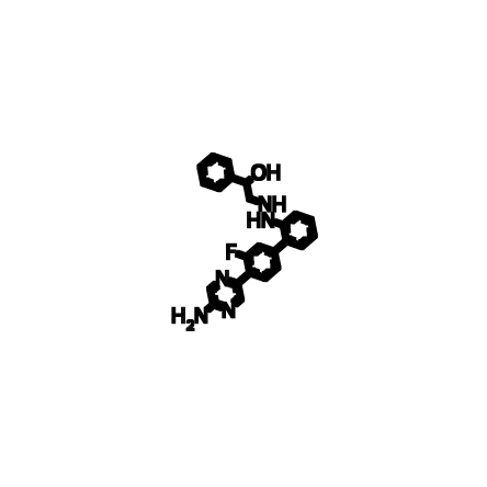 Nc1cnc(-c2ccc(-c3ccccc3NNCC(O)c3ccccc3)cc2F)cn1